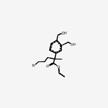 CCOC(=O)C(C)(CCCBr)c1ccc(CO)c(CO)c1